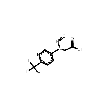 O=NN(CC(=O)O)c1ccc(C(F)(F)F)nc1